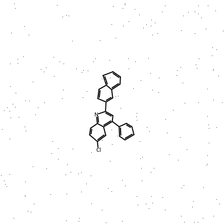 Clc1ccc2nc(-c3ccc4ccccc4c3)cc(-c3ccccc3)c2c1